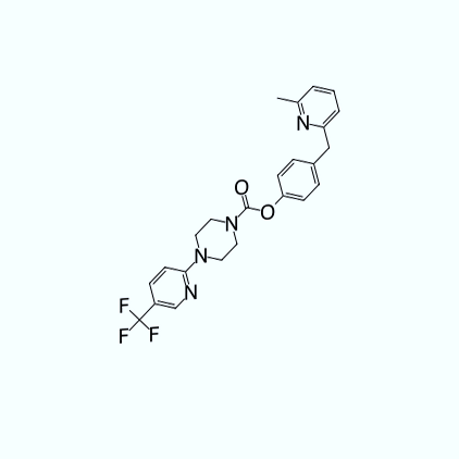 Cc1cccc(Cc2ccc(OC(=O)N3CCN(c4ccc(C(F)(F)F)cn4)CC3)cc2)n1